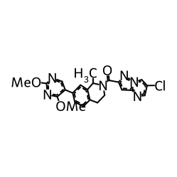 COc1ncc(-c2ccc3c(c2)C(C)N(C(=O)c2cc4ncc(Cl)cn4n2)CC3)c(OC)n1